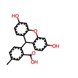 Cc1ccc(C2c3ccc(O)cc3Oc3cc(O)ccc32)c(C(=O)O)c1